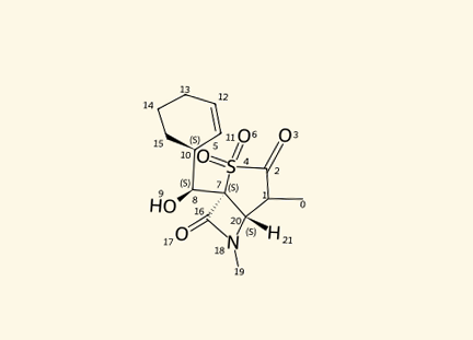 CC1C(=O)S(=O)(=O)[C@@]2([C@@H](O)[C@@H]3C=CCCC3)C(=O)N(C)[C@@H]12